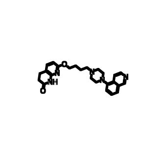 O=C1CCc2ccc(OCCCCN3CCN(c4cccc5cnccc45)CC3)nc2N1